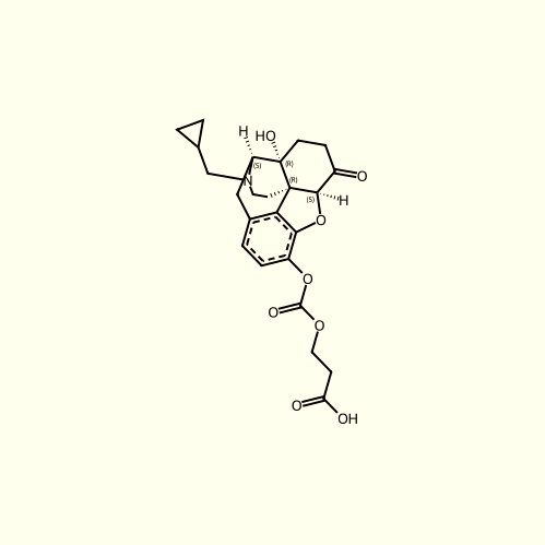 O=C(O)CCOC(=O)Oc1ccc2c3c1O[C@@H]1C(=O)CC[C@]4(O)[C@H](C2)N(CC2CC2)CC[C@@]314